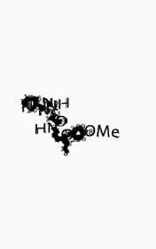 C=C/C=C(\C=C/CNC(=O)CSc1nc(-c2cccnc2)n[nH]1)Oc1ccc(OC)cc1